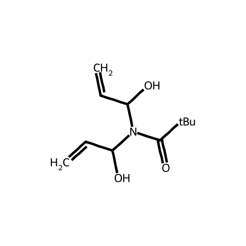 C=CC(O)N(C(=O)C(C)(C)C)C(O)C=C